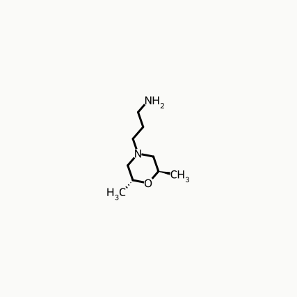 C[C@@H]1CN(CCCN)C[C@@H](C)O1